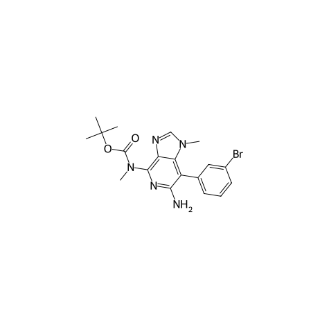 CN(C(=O)OC(C)(C)C)c1nc(N)c(-c2cccc(Br)c2)c2c1ncn2C